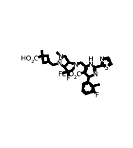 CCOC(=O)C1=C(CN2CC(F)(F)C3C2CN(C)N3CC2CC(C)(C(=O)O)C2)NC(c2nccs2)=NC1c1cccc(F)c1C